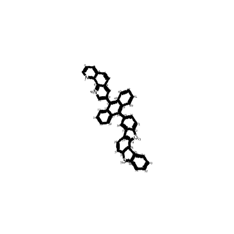 c1cnc2c(c1)ccc1cc(-c3c4ccccc4c(-c4ccc5oc6c(ccc7sc8ccccc8c76)c5c4)c4ccccc34)cnc12